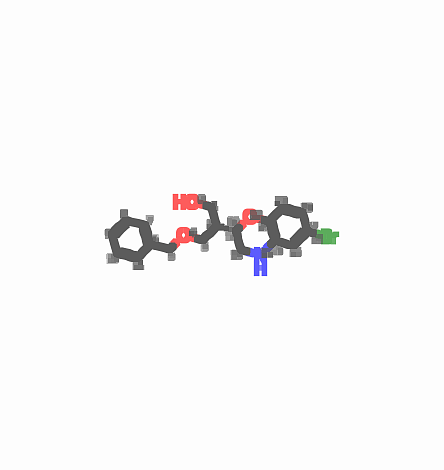 OCC(COCc1ccccc1)[C@H]1CNc2cc(Br)ccc2O1